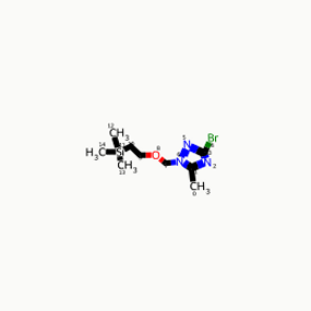 Cc1nc(Br)nn1COCC[Si](C)(C)C